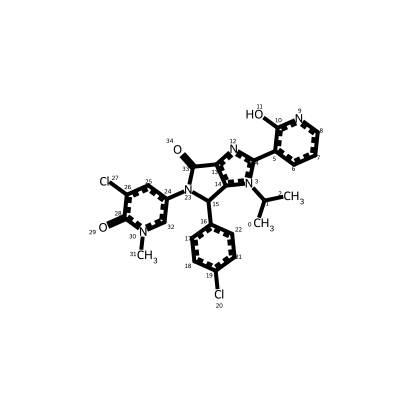 CC(C)n1c(-c2cccnc2O)nc2c1C(c1ccc(Cl)cc1)N(c1cc(Cl)c(=O)n(C)c1)C2=O